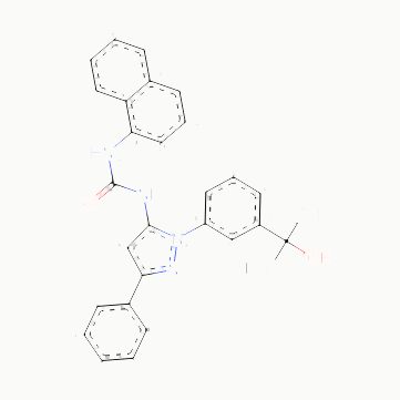 CC(C)(O)c1cccc(-n2nc(-c3ccccc3)cc2NC(=O)Nc2cccc3ccccc23)c1